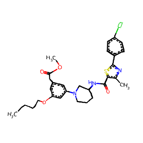 CCCCOc1cc(C(=O)OC)cc(N2CCCC(NC(=O)c3sc(-c4ccc(Cl)cc4)nc3C)C2)c1